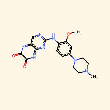 COc1cc(N2CCN(C)CC2)ccc1Nc1ncc2c(n1)=NC(=O)C(=O)N=2